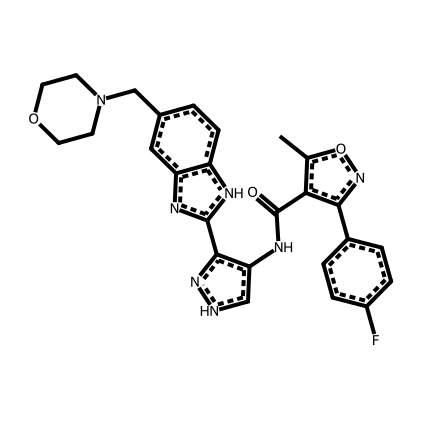 Cc1onc(-c2ccc(F)cc2)c1C(=O)Nc1c[nH]nc1-c1nc2cc(CN3CCOCC3)ccc2[nH]1